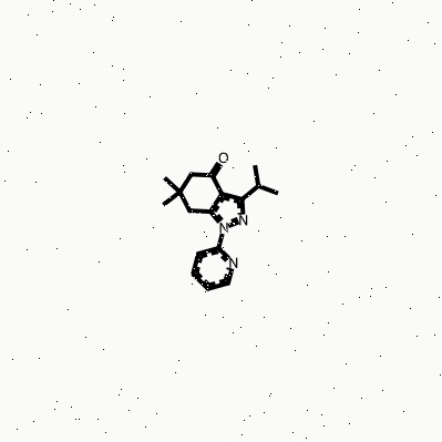 CC(C)c1nn(-c2ccccn2)c2c1C(=O)CC(C)(C)C2